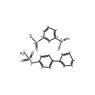 NS(=O)(=O)Oc1ccc(-c2ccccc2)cc1.O=[N+]([O-])c1cccc([N+](=O)[O-])c1